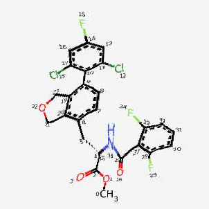 COC(=O)[C@H](Cc1ccc(-c2c(Cl)cc(F)cc2Cl)c2c1COC2)NC(=O)c1c(F)cccc1F